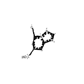 O=C(O)c1cc(Cl)n2ncnc2c1